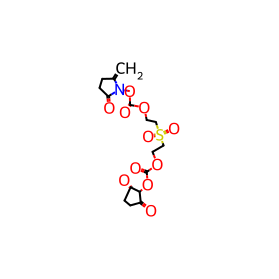 C=C1CCC(=O)N1OC(=O)OCCS(=O)(=O)CCOC(=O)OC1C(=O)CCC1=O